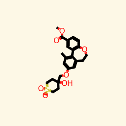 COC(=O)c1ccc2c(c1)-c1c(C)cc(OCC3(O)CCS(=O)(=O)CC3)cc1CCO2